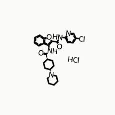 Cl.O=C(Nc1ccc(Cl)cn1)c1oc2ccccc2c1NC(=O)[C@H]1CC[C@H](N2CCCCC2)CC1